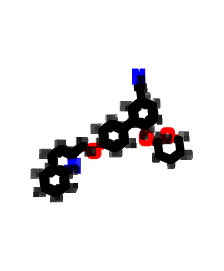 N#Cc1ccc(OC2CCCCO2)c(-c2ccc(OCc3ccc4ccccc4n3)cc2)c1